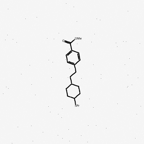 CCCC1CCC(CCc2ccc(C(=O)OC)cc2)CC1